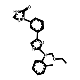 CCOCN(c1ncc(-c2cccc(-n3nc[nH]c3=O)c2)o1)c1ccccc1C